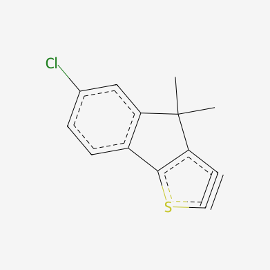 CC1(C)c2c#csc2-c2ccc(Cl)cc21